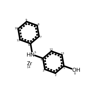 Oc1ccc(Nc2ccccc2)cc1.[Zr]